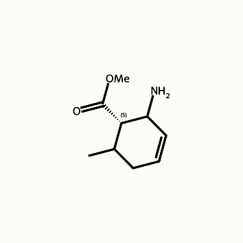 COC(=O)[C@@H]1C(N)C=CCC1C